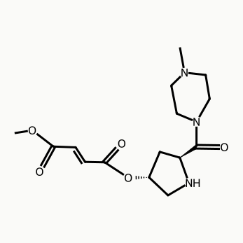 COC(=O)/C=C/C(=O)O[C@H]1CN[C@H](C(=O)N2CCN(C)CC2)C1